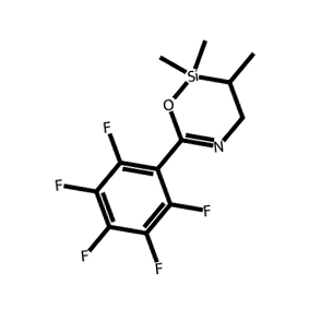 CC1CN=C(c2c(F)c(F)c(F)c(F)c2F)O[Si]1(C)C